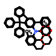 Cc1ccc2c(c1N(c1cc3c(cc1-c1cccc4c1CCCC4)-c1ccccc1C3(c1ccccc1)c1ccccc1)c1c(C)ccc3c1CCCC3)CCCC2